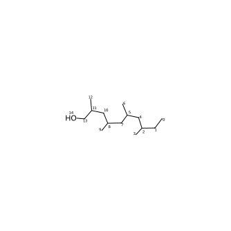 CCC(C)CC(C)CC(C)CC(C)CO